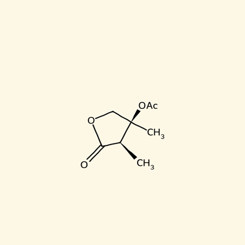 CC(=O)O[C@]1(C)COC(=O)[C@@H]1C